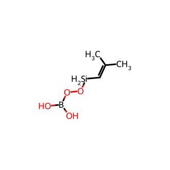 CC(C)=C[SiH2]OOB(O)O